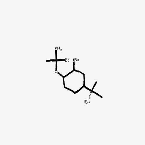 CC[C@@H](C)C(C)(C)C1CCC(OC(C)(P)CC)C(C(C)(C)C)C1